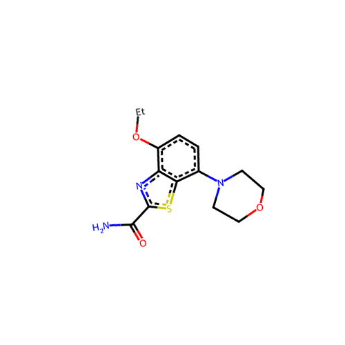 CCOc1ccc(N2CCOCC2)c2sc(C(N)=O)nc12